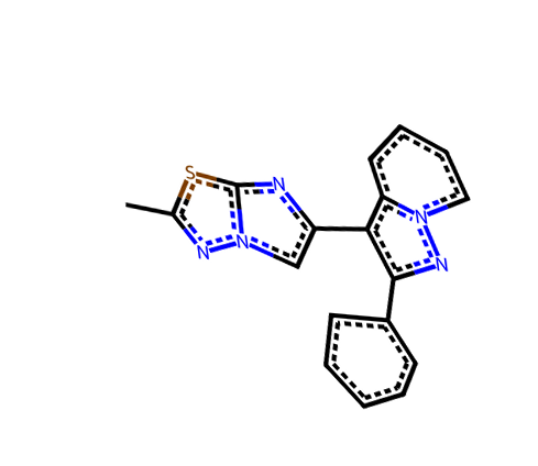 Cc1nn2cc(-c3c(-c4ccccc4)nn4ccccc34)nc2s1